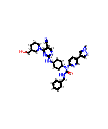 Cn1cc(-c2ccc(N(C(=O)NCc3ccccc3)C3CCC(Nc4ncc(C#N)c(N5CCCC(CO)C5)n4)CC3)nc2)cn1